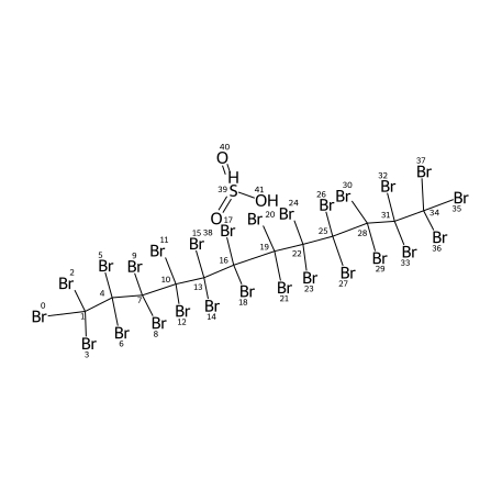 BrC(Br)(Br)C(Br)(Br)C(Br)(Br)C(Br)(Br)C(Br)(Br)C(Br)(Br)C(Br)(Br)C(Br)(Br)C(Br)(Br)C(Br)(Br)C(Br)(Br)C(Br)(Br)Br.O=[SH](=O)O